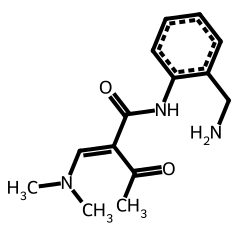 CC(=O)C(=CN(C)C)C(=O)Nc1ccccc1CN